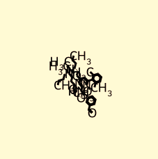 CCCCN(CCCOC)N(C)[C@@H](COc1cc(-c2c(C)cccc2C)nc(NS(=O)(=O)c2cccc(C=O)c2)n1)CC(C)C